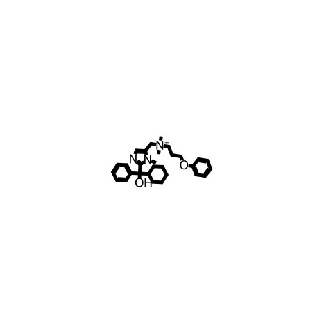 Cn1c(C[N+](C)(C)CCCOc2ccccc2)cnc1C(O)(c1ccccc1)C1CCCCC1